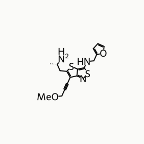 COCC#Cc1c(C[C@H](C)N)sc2c(NCc3ccco3)snc12